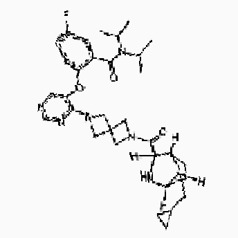 CC(C)N(C(=O)c1cc(F)ccc1Oc1cncnc1N1CC2(CN(C(=O)[C@H]3N[C@H]4CC[C@@H]3C[C@@H]4CC3CC3)C2)C1)C(C)C